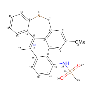 COc1ccc2c(c1)CSc1ccccc1/C2=C(\C)c1cccc(NS(C)(=O)=O)c1